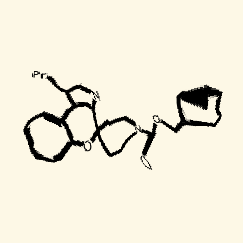 CC(C)C1C=NC2=C1c1ccccc1OC21CCN(C(=O)OCc2ccccc2)CC1